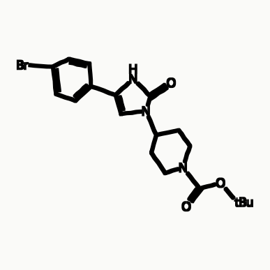 CC(C)(C)OC(=O)N1CCC(n2cc(-c3ccc(Br)cc3)[nH]c2=O)CC1